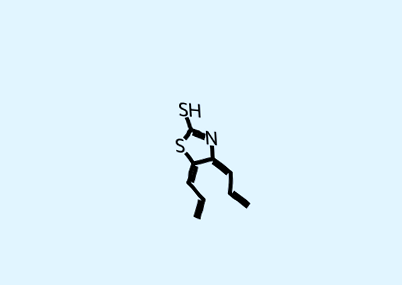 C=C/C=c1/nc(S)s/c1=C/C=C